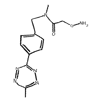 Cc1nnc(-c2ccc(CN(C)C(=O)CON)cc2)nn1